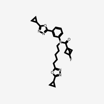 O=C(N(CCCCCc1nnc(C2CC2)o1)c1cccc(-c2nnc(C3CC3)o2)c1)C12CC(F)(C1)C2